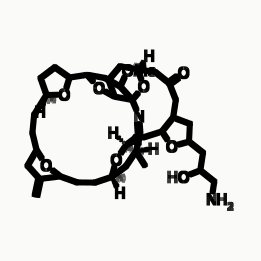 C=C1CC2CC[C@@H]3CCC(O3)C3CC(OC)C45N=C6[C@H](C)C[C@H](CCC1O2)O[C@@H]6CC1OC(CC(O)CN)CC1CC(=O)C[C@@H](CCC4O3)O5